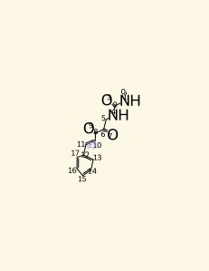 CNC(=O)NCC(=O)C(=O)/C=C/c1ccccc1